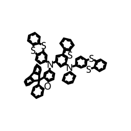 c1ccc(N(c2ccc3c(c2)Sc2ccccc2S3)c2cc(N(c3ccc4c(c3)Sc3ccccc3S4)c3ccc4c(c3)C3(c5ccccc5O4)c4ccccc4-c4ccccc43)cc3c2sc2ccccc23)cc1